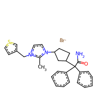 Cc1n(C2CCC(C(C(N)=O)(c3ccccc3)c3ccccc3)C2)cc[n+]1Cc1ccsc1.[Br-]